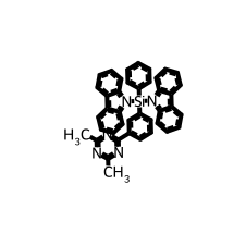 Cc1nc(C)nc(-c2cccc([Si](c3ccccc3)(n3c4ccccc4c4ccccc43)n3c4ccccc4c4ccccc43)c2)n1